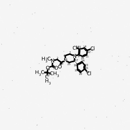 CN(CC(=O)N1CCN(c2ccc(Cl)cc2Cl)[C@H](c2ccc(Cl)cc2)C1)C(=O)OC(C)(C)C